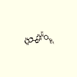 CCO[C@H]1CC[C@H](Nc2ncc3c(-c4ccc5nccnc5c4)ccn3n2)CC1